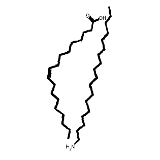 CCCCCCCC/C=C\CCCCCCCC(=O)O.CCCCCCCCCCCCCCCCCCN